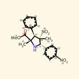 COC(=O)[C@@]1(C)N[C@@H](c2ccc([N+](=O)[O-])cc2)[C@@](C)([N+](=O)[O-])[C@@H]1c1ccccc1